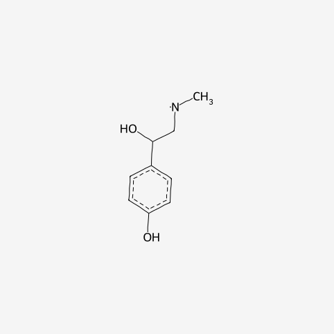 C[N]CC(O)c1ccc(O)cc1